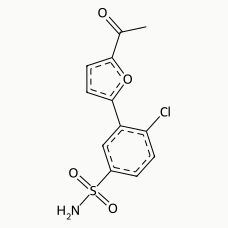 CC(=O)c1ccc(-c2cc(S(N)(=O)=O)ccc2Cl)o1